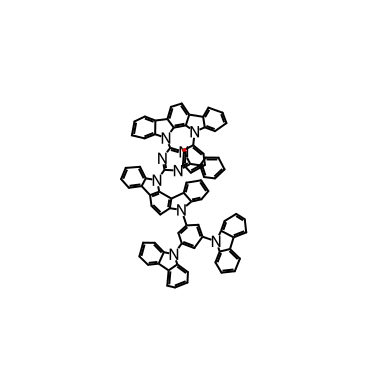 c1ccc(-c2nc(-n3c4ccccc4c4ccc5c(c6ccccc6n5-c5cc(-n6c7ccccc7c7ccccc76)cc(-n6c7ccccc7c7ccccc76)c5)c43)nc(-n3c4ccccc4c4ccc5c6ccccc6n(-c6ccccc6)c5c43)n2)cc1